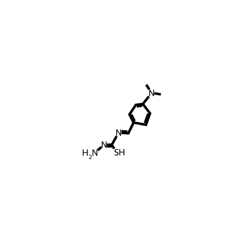 CN(C)c1ccc(/C=N/C(S)=N/N)cc1